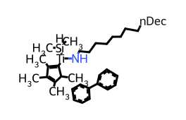 CCCCCCCCCCCCCCCCCC[NH][Ti]([C]1=C(C)C(C)=C(C)C1C)[SiH](C)C.c1ccc(-c2ccccc2)cc1